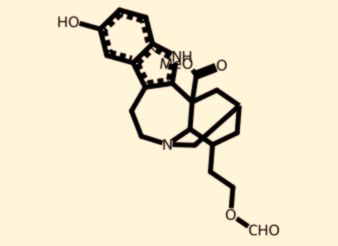 COC(=O)C12CC3CC(CCOC=O)C1N(CCc1c2[nH]c2ccc(O)cc12)C3